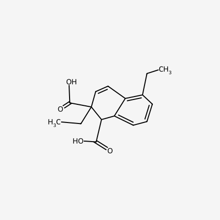 CCc1cccc2c1C=CC(CC)(C(=O)O)C2C(=O)O